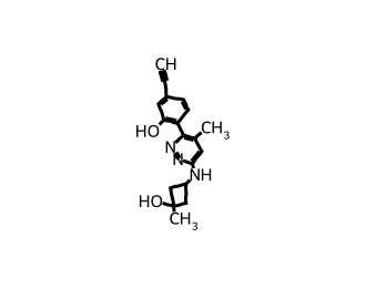 C#Cc1ccc(-c2nnc(NC3CC(C)(O)C3)cc2C)c(O)c1